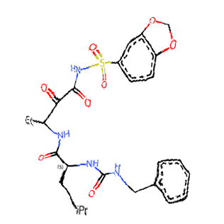 CCC(NC(=O)[C@H](CC(C)C)NC(=O)NCc1ccccc1)C(=O)C(=O)NS(=O)(=O)c1ccc2c(c1)OCO2